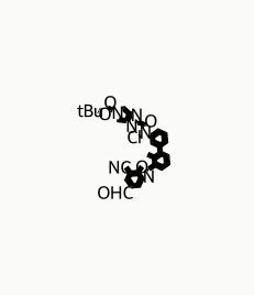 Cc1c(-c2cccc(N(Cl)C(=O)c3nc4c(n3C)CN(C(=O)OC(C)(C)C)C4)c2)cccc1-c1nc2cc(C=O)cc(C#N)c2o1